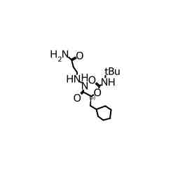 CC(C)(C)NC(=O)O[C@@H](CC1CCCCC1)C(=O)NNCCC(N)=O